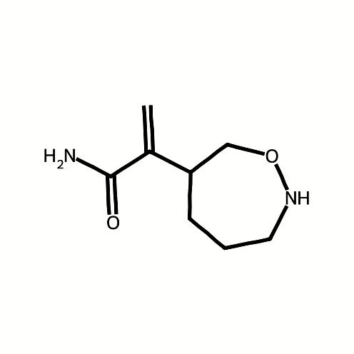 C=C(C(N)=O)C1CCCNOC1